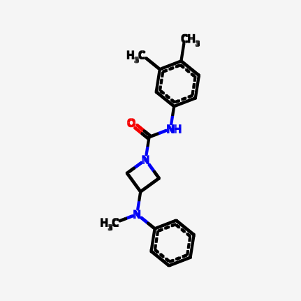 Cc1ccc(NC(=O)N2CC(N(C)c3ccccc3)C2)cc1C